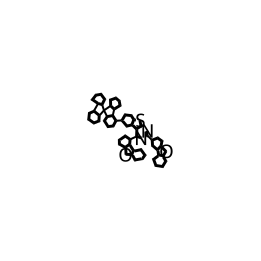 c1ccc2c(c1)-c1ccccc1C21c2ccccc2-c2c(-c3ccc4sc5nc(-c6ccc7oc8ccccc8c7c6)nc(-c6cccc7oc8ccccc8c67)c5c4c3)cccc21